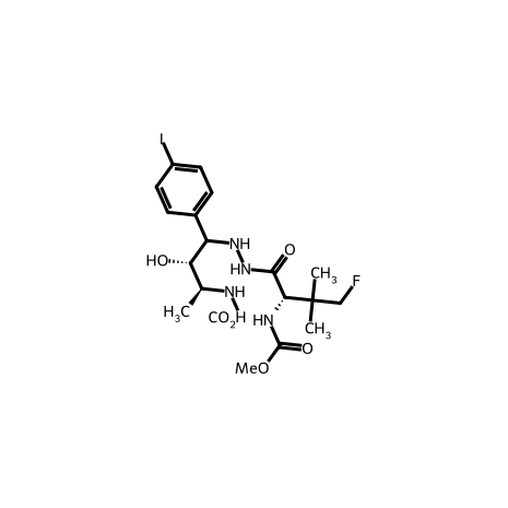 COC(=O)N[C@H](C(=O)NNC(c1ccc(I)cc1)[C@@H](O)[C@H](C)NC(=O)O)C(C)(C)CF